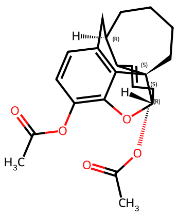 CC(=O)Oc1ccc2c3c1O[C@H]1[C@@H](OC(C)=O)C=CC4[C@H](CCCC[C@@]341)C2